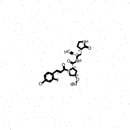 C#C[C@H](C[C@@H]1CCNC1=O)NC(=O)[C@@H]1C[C@@H](OC(C)(C)C)CN1C(=O)/C=C/c1ccc(Cl)cc1F